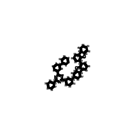 c1ccc(-c2cccc(-c3nc(-c4ccccc4)nc(-c4cccc(-c5ccc6c(c5)oc5c(-c7cccc8c7oc7ccccc78)cccc56)c4)n3)c2)cc1